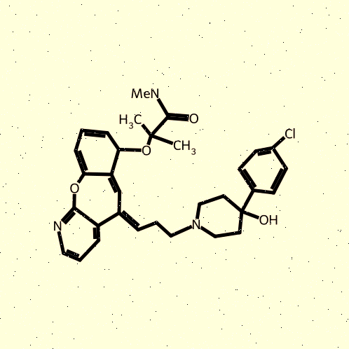 CNC(=O)C(C)(C)OC1C=CC=C2Oc3ncccc3C(=CCCN3CCC(O)(c4ccc(Cl)cc4)CC3)C=C21